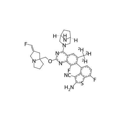 [2H]C([2H])([2H])c1cc2c(N3C[C@H]4CC[C@@H](C3)N4)nc(OCC34CCCN3C/C(=C\F)C4)nc2c(F)c1-c1ccc(F)c2sc(N)c(C#N)c12